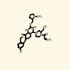 C=CC(=O)N1CCN(C2NC(OCC3CCCN3C)NC3C(=O)[C@@]4(CCc5ccc(Cl)cc5C4)CCC32)CC1CC#N